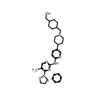 OCC1CCC(CN2CCC(c3ccc(Nc4ncc(C(F)(F)F)c(N5OCC[C@H]5c5ccccc5)n4)nc3)CC2)CC1